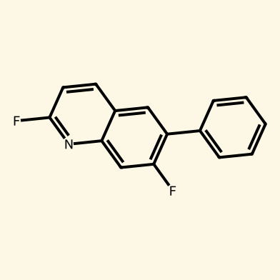 Fc1ccc2cc(-c3ccccc3)c(F)cc2n1